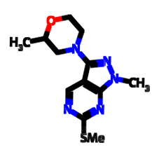 CSc1ncc2c(N3CCOC(C)C3)nn(C)c2n1